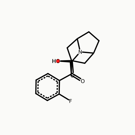 O=C(O)N1C2CCC1CC(O)(C(=O)c1ccccc1F)C2